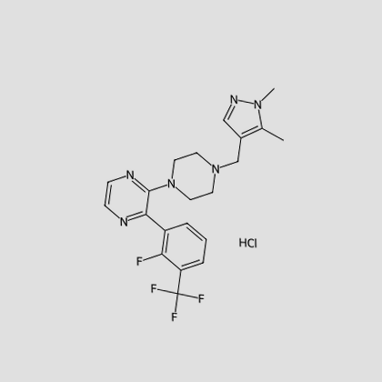 Cc1c(CN2CCN(c3nccnc3-c3cccc(C(F)(F)F)c3F)CC2)cnn1C.Cl